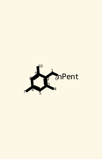 CCCCC[CH]c1c(C)cc(C)cc1C